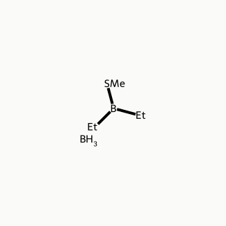 B.CCB(CC)SC